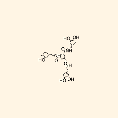 Cc1ccc(CCNC(=O)c2cc(CONCCc3ccc(O)c(O)c3)cc(C(=O)NCCc3ccc(O)c(O)c3)c2)cc1O